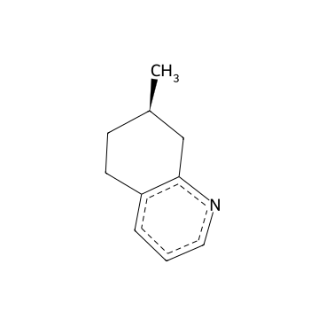 C[C@@H]1CCc2cccnc2C1